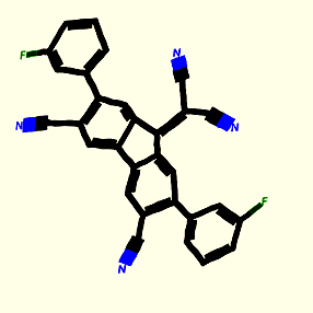 N#CC(C#N)=C1c2cc(-c3cccc(F)c3)c(C#N)cc2-c2cc(C#N)c(-c3cccc(F)c3)cc21